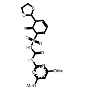 COc1cc(OC)nc(NC(=O)NS(=O)(=O)C2=CC=CC(C3OCCO3)C2=S)n1